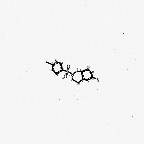 Cc1ccc(S(=O)(=O)N2CCc3cc(C)ccc3C2)cc1